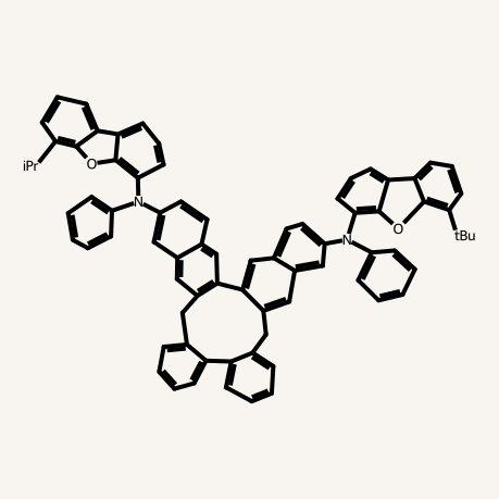 CC(C)c1cccc2c1oc1c(N(c3ccccc3)c3ccc4cc5c(cc4c3)Cc3ccccc3-c3ccccc3Cc3cc4cc(N(c6ccccc6)c6cccc7c6oc6c(C(C)(C)C)cccc67)ccc4cc3-5)cccc12